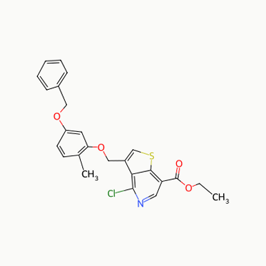 CCOC(=O)c1cnc(Cl)c2c(COc3cc(OCc4ccccc4)ccc3C)csc12